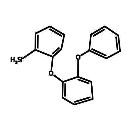 [SiH3]c1ccccc1Oc1ccccc1Oc1ccccc1